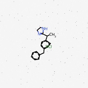 CC(C1=NCCN1)c1ccc(Cc2ccccc2)cc1.Cl